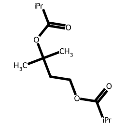 CC(C)C(=O)OCCC(C)(C)OC(=O)C(C)C